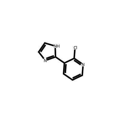 Clc1ncccc1-c1ncc[nH]1